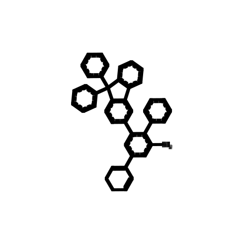 Bc1cc(C2=CCCC=C2)cc(-c2ccc3c(c2)-c2ccccc2C3(c2ccccc2)c2ccccc2)c1-c1ccccc1